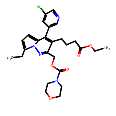 CCOC(=O)CCCc1c(COC(=O)N2CCOCC2)nn2c(CC)ccc2c1-c1cncc(Br)c1